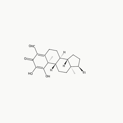 CC[C@@H]1CC[C@H]2[C@@H]3CCC4=C(C=O)C(=O)C(O)=C(O)[C@]4(C)[C@H]3CC[C@]12C